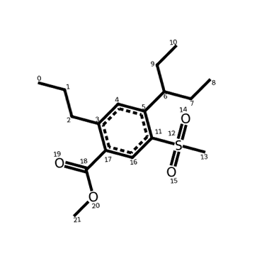 CCCc1cc(C(CC)CC)c(S(C)(=O)=O)cc1C(=O)OC